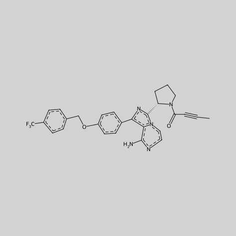 CC#CC(=O)N1CCC[C@H]1c1nc(-c2ccc(OCc3ccc(C(F)(F)F)cc3)cc2)c2c(N)nccn12